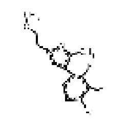 COCCn1cc(-c2ccc(Br)c(F)c2F)c(C)n1